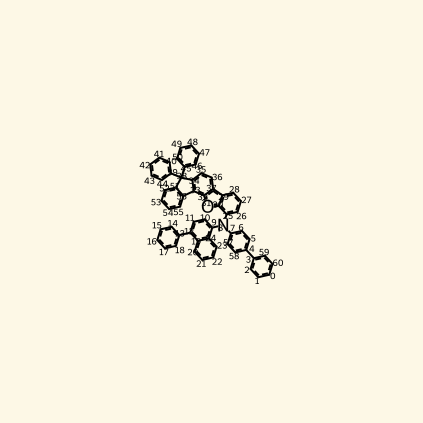 c1ccc(-c2ccc(N(c3ccc(-c4ccccc4)c4ccccc34)c3cccc4c3oc3c5c(ccc34)C(c3ccccc3)(c3ccccc3)c3ccccc3-5)cc2)cc1